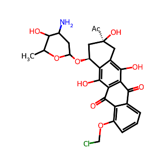 CC(=O)[C@]1(O)Cc2c(O)c3c(c(O)c2[C@@H](OC2CC(N)C(O)C(C)O2)C1)C(=O)c1c(OCCl)cccc1C3=O